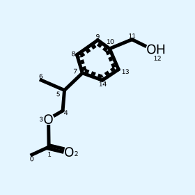 CC(=O)OCC(C)c1ccc(CO)cc1